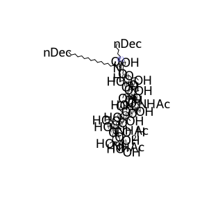 CCCCCCCCCCCCC/C=C/[C@@H](O)[C@H](CO[C@@H]1OC(CO)[C@@H](O[C@@H]2OC(CO)[C@H](O)[C@H](O[C@@H]3OC(CO)[C@@H](O[C@@H]4OC(CO)[C@H](O)[C@H](O[C@@H]5OC(CO)[C@H](O)[C@H](O[C@]6(C(=O)O)CC(O)[C@@H](NC(C)=O)C([C@H](O)[C@H](O)CO)O6)C5NC(C)=O)C4O)[C@H](O)C3NC(C)=O)C2O)[C@H](O)C1O)NC(=O)CCCCCCCCCCCCCCCCCCCCCCC